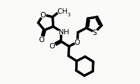 CC1OCC(=O)C1NC(=O)C(CC1CCCCC1)OCc1cccs1